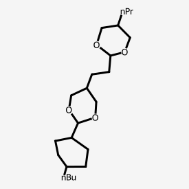 CCCCC1CCC(C2OCC(CCC3OCC(CCC)CO3)CO2)CC1